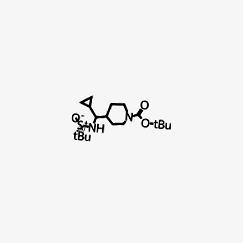 CC(C)(C)OC(=O)N1CCC(C(N[S@+]([O-])C(C)(C)C)C2CC2)CC1